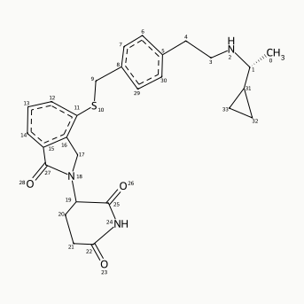 C[C@@H](NCCc1ccc(CSc2cccc3c2CN(C2CCC(=O)NC2=O)C3=O)cc1)C1CC1